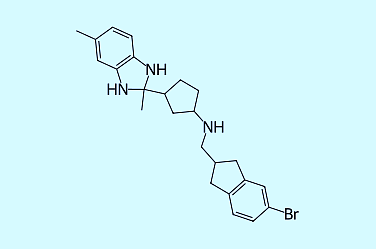 Cc1ccc2c(c1)NC(C)(C1CCC(NCC3Cc4ccc(Br)cc4C3)C1)N2